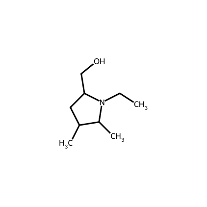 CCN1C(CO)CC(C)C1C